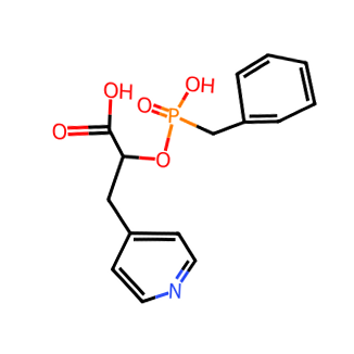 O=C(O)C(Cc1ccncc1)OP(=O)(O)Cc1ccccc1